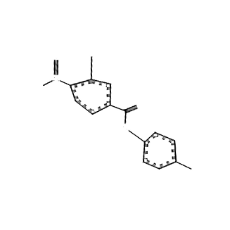 Cc1cc(C(=O)Nc2ccc(Cl)cc2)ccc1[N+](=O)[O-]